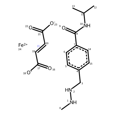 CNNCc1ccc(C(=O)NC(C)C)cc1.O=C([O-])/C=C/C(=O)[O-].[Fe+2]